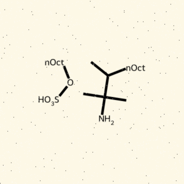 CCCCCCCCC(C)C(C)(C)N.CCCCCCCCOS(=O)(=O)O